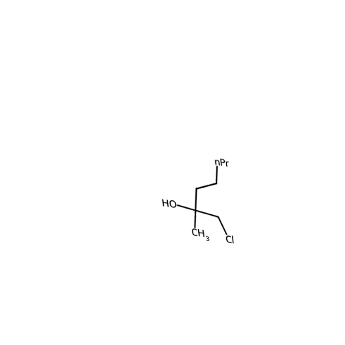 CCCCCC(C)(O)CCl